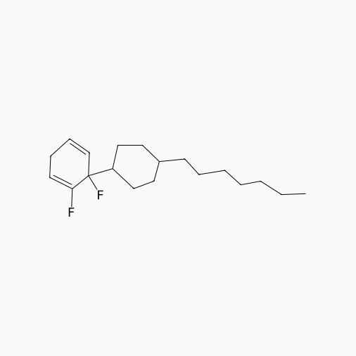 CCCCCCCC1CCC(C2(F)C=CCC=C2F)CC1